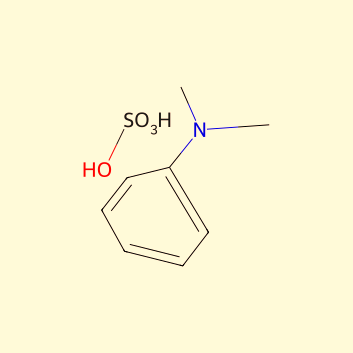 CN(C)c1ccccc1.O=S(=O)(O)O